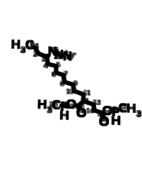 CCCC(CCCCCCCCC(CCC(=O)OPC)C(=O)OPC)N=[N+]=[N-]